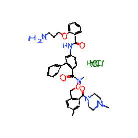 Cc1ccc(CON(C)C(=O)c2ccc(NC(=O)c3ccccc3OCCCN)cc2-c2ccccc2)c(C(=O)N2CCN(C)CC2)c1.Cl.Cl